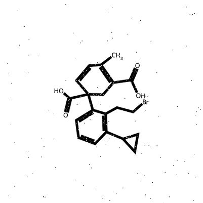 CC1=C(C(=O)O)CC(C(=O)O)(c2cccc(C3CC3)c2CCBr)C=C1